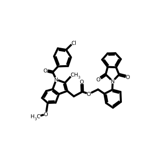 COc1ccc2c(c1)c(CC(=O)OCc1ccccc1N1C(=O)c3ccccc3C1=O)c(C)n2C(=O)c1ccc(Cl)cc1